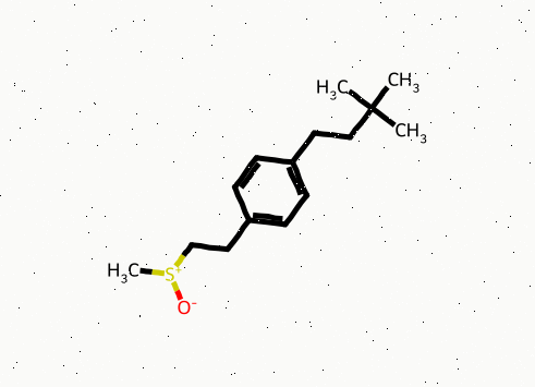 C[S+]([O-])CCc1ccc(CCC(C)(C)C)cc1